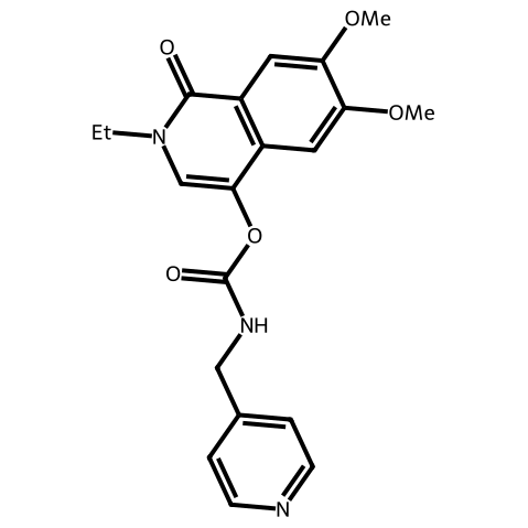 CCn1cc(OC(=O)NCc2ccncc2)c2cc(OC)c(OC)cc2c1=O